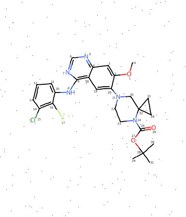 COc1cc2ncnc(Nc3cccc(Cl)c3F)c2cc1N1CCN(C(=O)OC(C)(C)C)C2(CC2)C1